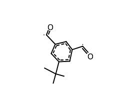 CC(C)(C)c1cc([C]=O)cc([C]=O)c1